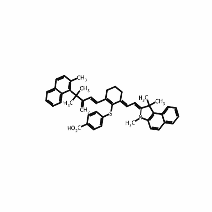 C=C(/C=C/C1=C(Sc2ccc(C(=O)O)cc2)C(=C/C=C2\N(C)c3ccc4ccccc4c3C2(C)C)/CCC1)C(C)(C)c1c(C)ccc2ccccc12